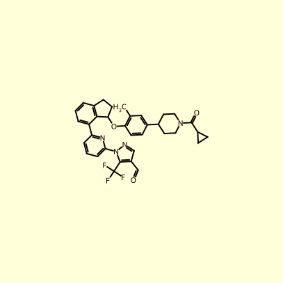 Cc1cc(C2CCN(C(=O)C3CC3)CC2)ccc1OC1CCc2cccc(-c3cccc(-n4ncc(C=O)c4C(F)(F)F)n3)c21